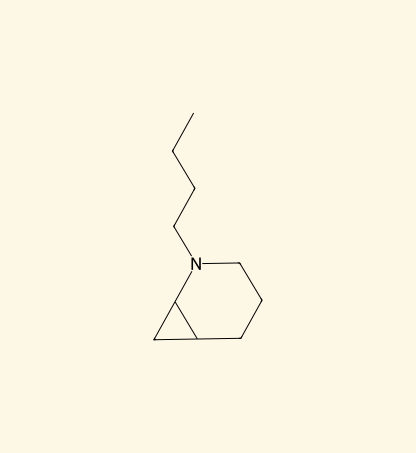 CCCCN1CCCC2CC21